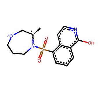 C[C@@H]1CNCCCN1S(=O)(=O)c1cccc2c(O)nccc12